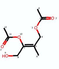 CC(=O)OCC(C)=C(CO)OC(C)=O